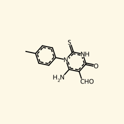 Cc1ccc(-n2c(N)c(C=O)c(=O)[nH]c2=S)cc1